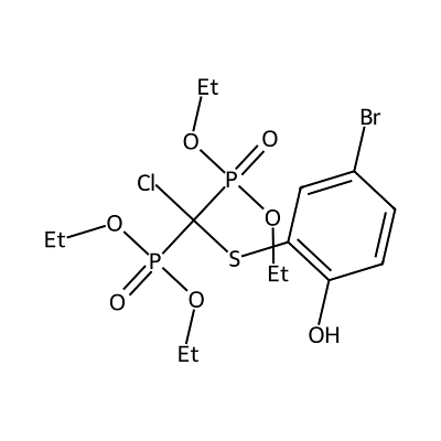 CCOP(=O)(OCC)C(Cl)(Sc1cc(Br)ccc1O)P(=O)(OCC)OCC